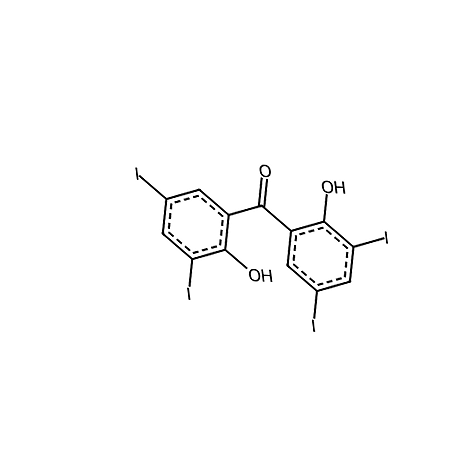 O=C(c1cc(I)cc(I)c1O)c1cc(I)cc(I)c1O